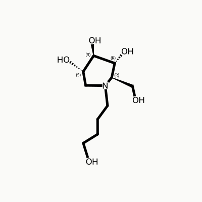 OCCCCN1C[C@H](O)[C@@H](O)[C@H](O)[C@H]1CO